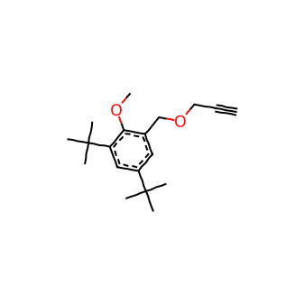 C#CCOCc1cc(C(C)(C)C)cc(C(C)(C)C)c1OC